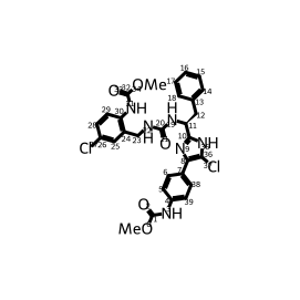 COC(=O)Nc1ccc(-c2nc([C@H](Cc3ccccc3)NC(=O)NCc3cc(Cl)ccc3NC(=O)OC)[nH]c2Cl)cc1